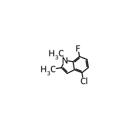 Cc1cc2c(Cl)ccc(F)c2n1C